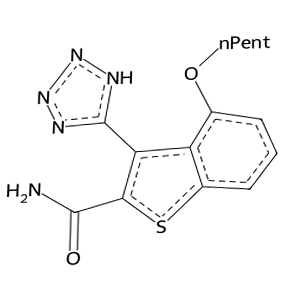 CCCCCOc1cccc2sc(C(N)=O)c(-c3nnn[nH]3)c12